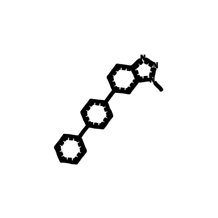 Cn1nnc2ccc(-c3ccc(-c4ccccc4)cc3)cc21